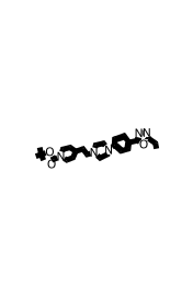 CCc1nnc(-c2ccc(N3CCN(CCC4CCN(C(=O)OC(C)(C)C)CC4)CC3)cc2)o1